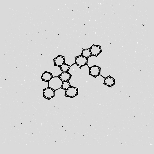 c1ccc(-c2ccc(-c3nc(-n4c5ccccc5c5c6c7c(cc54)c4ccccc4n7-c4ccccc4-c4ccccc4-6)nc4sc5ccccc5c34)cc2)cc1